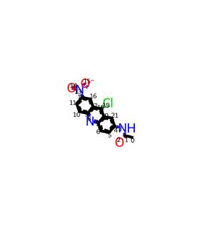 CC(=O)Nc1ccc2nc3ccc([N+](=O)[O-])cc3c(Cl)c2c1